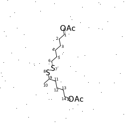 CC(=O)OCCCCCCSSC(C)CCCCOC(C)=O